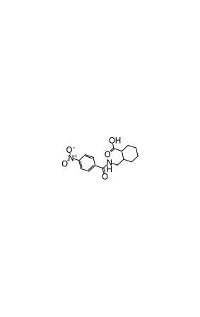 O=C(NCC1CCCCC1C(=O)O)c1ccc([N+](=O)[O-])cc1